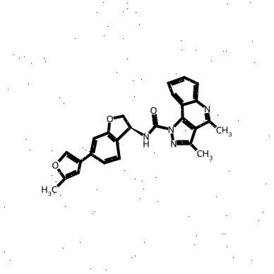 Cc1cc(-c2ccc3c(c2)OC[C@H]3NC(=O)n2nc(C)c3c(C)nc4ccccc4c32)co1